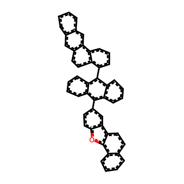 c1ccc2cc3c(ccc4c(-c5c6ccccc6c(-c6ccc7oc8c9ccccc9ccc8c7c6)c6ccccc56)cccc43)cc2c1